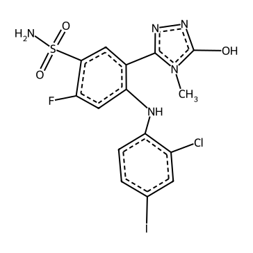 Cn1c(O)nnc1-c1cc(S(N)(=O)=O)c(F)cc1Nc1ccc(I)cc1Cl